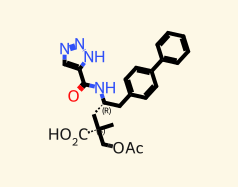 CC(=O)OC[C@](C)(C[C@@H](Cc1ccc(-c2ccccc2)cc1)NC(=O)c1cnn[nH]1)C(=O)O